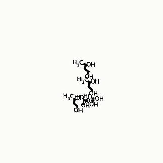 CC(O)CCO.CC(O)CCO.CC(O)CCO.OB(O)O.OB(O)O